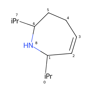 CC(C)C1C=CCCC(C(C)C)N1